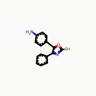 Nc1ccc(-c2oc(S)nc2-c2ccccc2)cc1